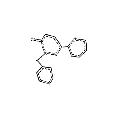 O=c1ccc(-c2ccccn2)nn1Cc1ccccc1